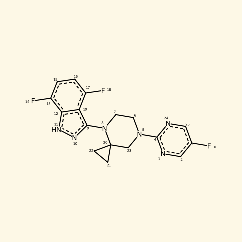 Fc1cnc(N2CCN(c3n[nH]c4c(F)ccc(F)c34)C3(CC3)C2)nc1